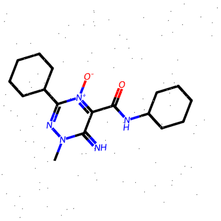 Cn1nc(C2CCCCC2)[n+]([O-])c(C(=O)NC2CCCCC2)c1=N